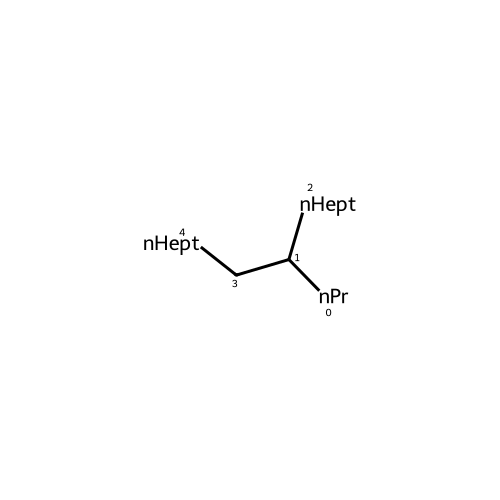 [CH2]CCC(CCCCCCC)CCCCCCCC